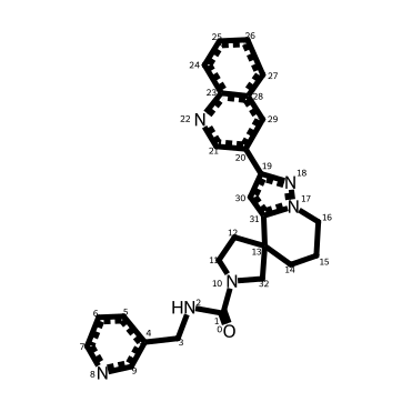 O=C(NCc1cccnc1)N1CCC2(CCCn3nc(-c4cnc5ccccc5c4)cc32)C1